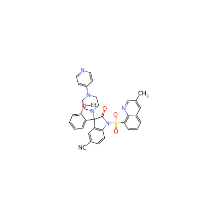 CCOc1ccccc1C1(N2CCN(c3ccncc3)CC2)C(=O)N(S(=O)(=O)c2cccc3cc(C)cnc23)c2ccc(C#N)cc21